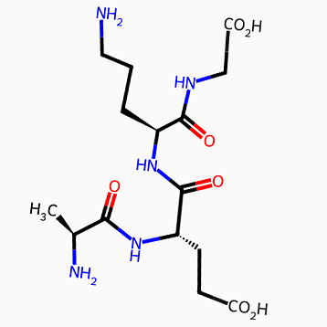 C[C@H](N)C(=O)N[C@@H](CCC(=O)O)C(=O)N[C@@H](CCCN)C(=O)NCC(=O)O